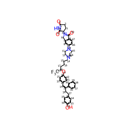 O=C1CCC(N2Cc3cc(N4CCN(CCCC[C@H](Oc5ccc(/C=C(/CCc6ccc(O)cc6)c6ccccc6)cc5)C(F)(F)F)CC4)ccc3C2=O)C(=O)N1